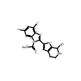 CCCC1NCCc2cc(-c3nc4c(I)cc(F)cc4n3C(=O)OC)sc21